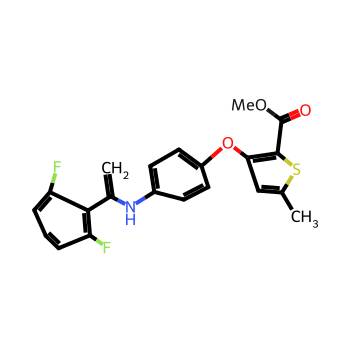 C=C(Nc1ccc(Oc2cc(C)sc2C(=O)OC)cc1)c1c(F)cccc1F